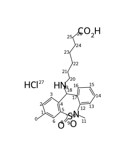 Cc1ccc2c(c1)S(=O)(=O)N(C)c1ccccc1C2NCCCCCCC(=O)O.Cl